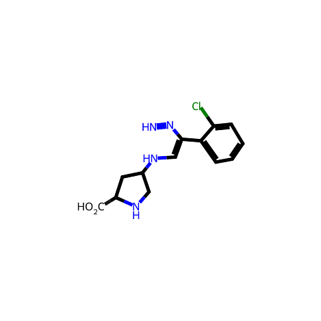 N=N/C(=C\NC1CNC(C(=O)O)C1)c1ccccc1Cl